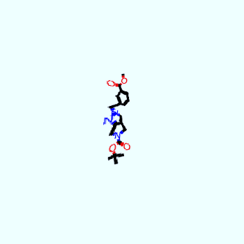 COC(=O)c1cccc(Cn2cc3c(n2)CN(C(=O)OC(C)(C)C)C3)c1